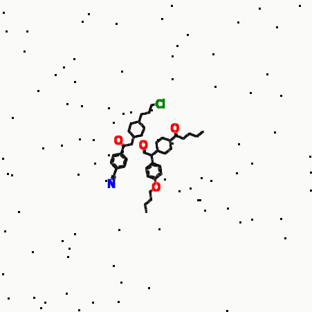 CCCCOc1ccc(C(C=O)C2CCC(C(=O)CCCC)CC2)cc1.N#Cc1ccc(C(=O)CC2CCC(CCCCl)CC2)cc1